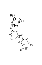 CCOCN(CC1CC1)CC1CCCC(CN(CC2CC2)CC2CC2)C1